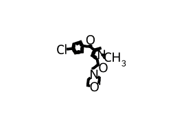 Cn1cc(C(=O)c2ccc(Cl)cc2)cc1C(=O)CN1CCOCC1